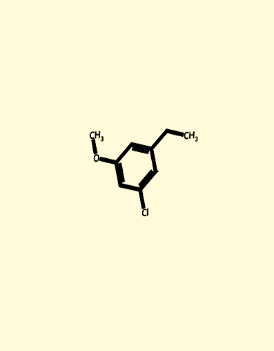 CCc1[c]c(Cl)cc(OC)c1